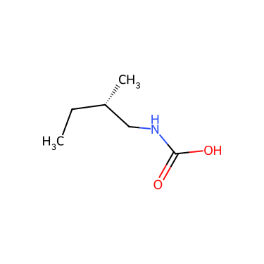 CC[C@H](C)CNC(=O)O